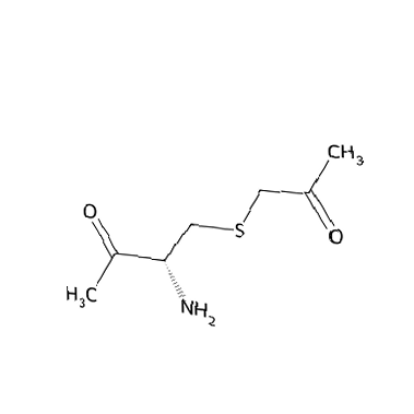 CC(=O)CSC[C@H](N)C(C)=O